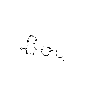 COCOc1ccc(C(O)c2ccccc2[N+](=O)[O-])cc1